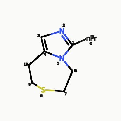 CCCc1ncc2n1CCSCC2